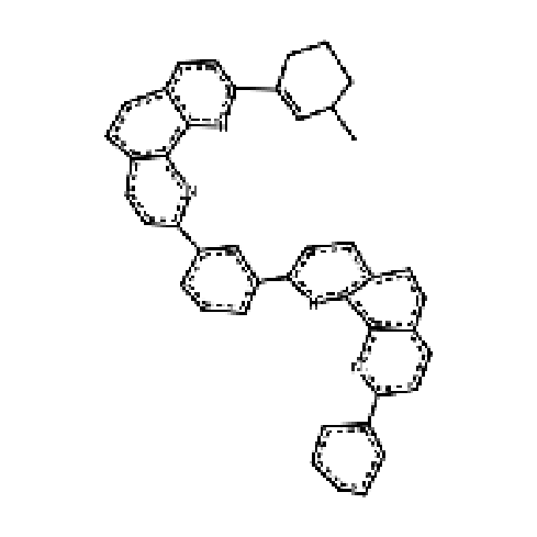 CC1C=C(c2ccc3ccc4ccc(-c5cccc(-c6ccc7ccc8ccc(-c9ccccc9)nc8c7n6)c5)nc4c3n2)CCC1